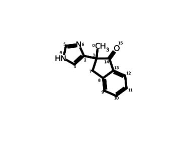 CC1(c2c[nH]cn2)Cc2ccccc2C1=O